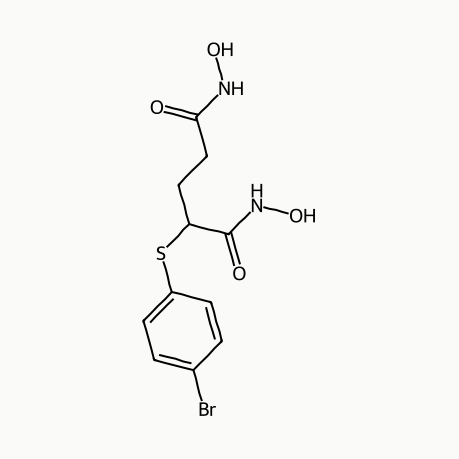 O=C(CCC(Sc1ccc(Br)cc1)C(=O)NO)NO